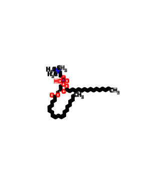 CCCCCCCC/C=C\C/C=C\C/C=C\CCCC(=O)OC[C@H](COP(=O)(O)OCC[N+](C)(C)C)OC(=O)CCCCCCCCCCCCCCC